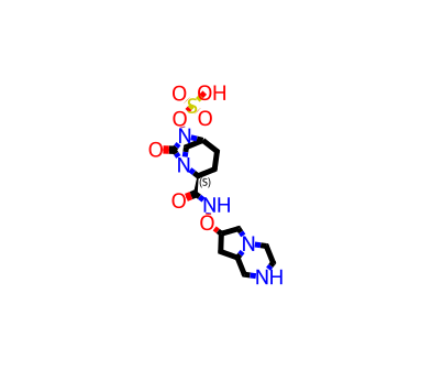 O=C(NOC1CC2CNCCN2C1)[C@@H]1CCC2CN1C(=O)N2OS(=O)(=O)O